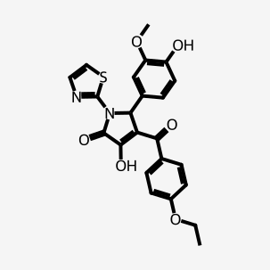 CCOc1ccc(C(=O)C2=C(O)C(=O)N(c3nccs3)C2c2ccc(O)c(OC)c2)cc1